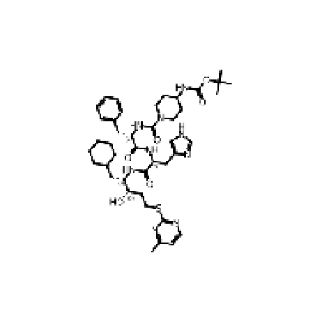 Cc1ccnc(SCC[C@H](O)[C@H](CC2CCCCC2)NC(=O)[C@H](Cc2c[nH]cn2)NC(=O)[C@H](Cc2ccccc2)NC(=O)N2CCC(NC(=O)OC(C)(C)C)CC2)n1